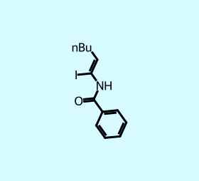 CCCCC=C(I)NC(=O)c1ccccc1